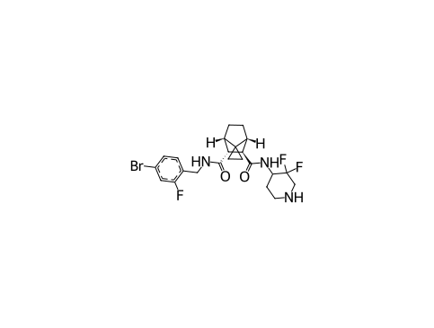 O=C(NC1CCNCC1(F)F)[C@H]1[C@H](C(=O)NCc2ccc(Br)cc2F)[C@@H]2CC[C@H]1C21CC1